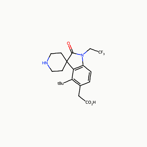 CC(C)(C)c1c(CC(=O)O)ccc2c1C1(CCNCC1)C(=O)N2CC(F)(F)F